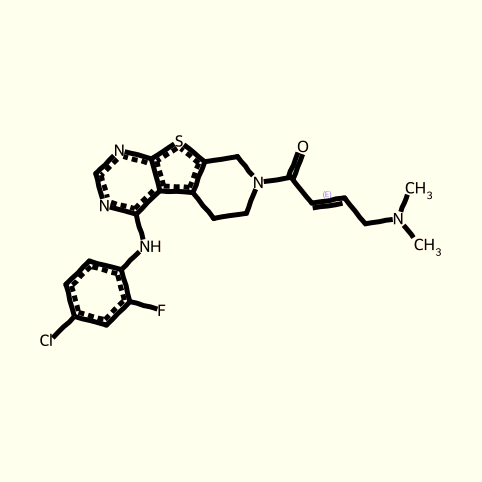 CN(C)C/C=C/C(=O)N1CCc2c(sc3ncnc(Nc4ccc(Cl)cc4F)c23)C1